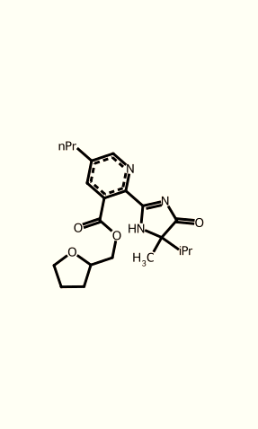 CCCc1cnc(C2=NC(=O)C(C)(C(C)C)N2)c(C(=O)OCC2CCCO2)c1